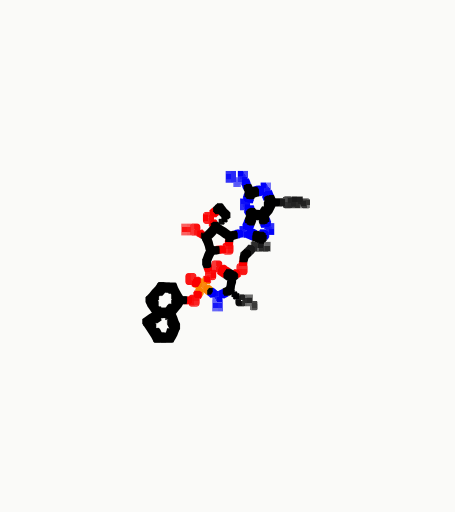 COc1nc(N)nc2c1ncn2C1OC(COP(=O)(N[C@@H](C)C(=O)OCC(C)(C)C)Oc2cccc3ccccc23)[C@@H](O)[C@]12CCO2